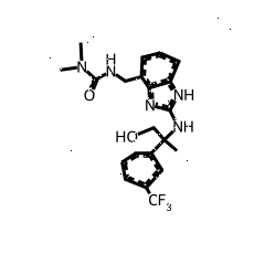 CN(C)C(=O)NCc1cccc2[nH]c(NC(C)(CO)c3cccc(C(F)(F)F)c3)nc12